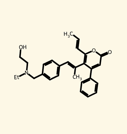 C/C=C/c1oc(=O)cc(-c2ccccc2)c1/C(C)=C/c1ccc(CN(CC)CCO)cc1